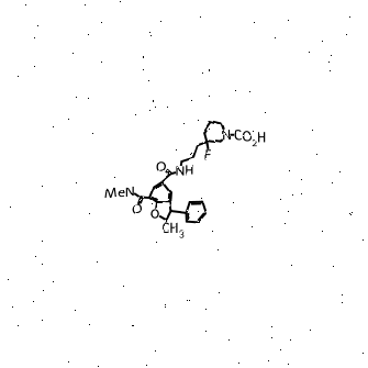 CNC(=O)c1cc(C(=O)NCCCC2(F)CCCN(C(=O)O)C2)cc2c1OC(C)C2c1ccccc1